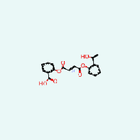 C=C(O)c1ccccc1OC(=O)/C=C/C(=O)Oc1ccccc1C(=O)O